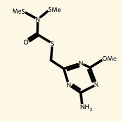 COc1nc(N)nc(CSC(=O)N(SC)SC)n1